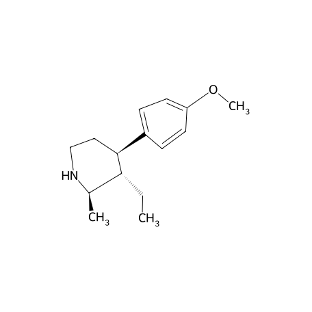 CC[C@@H]1[C@@H](C)NCC[C@H]1c1ccc(OC)cc1